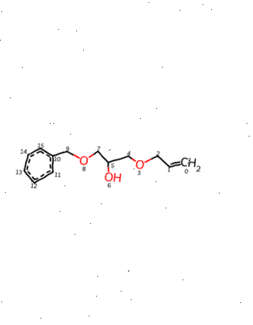 C=CCOCC(O)COCc1ccccc1